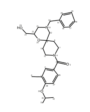 Cc1cc(C(=O)N2CCC3(CC2)CN(Cc2ccccc2)CC(CO)O3)ccc1OC(C)C